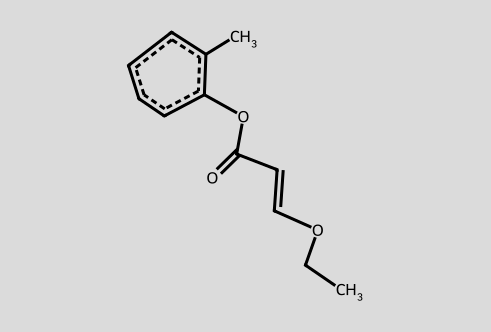 CCOC=CC(=O)Oc1ccccc1C